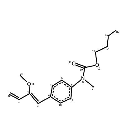 C=CC(=Cc1ccc(N(C)C(=O)OCCCC)cc1)OC